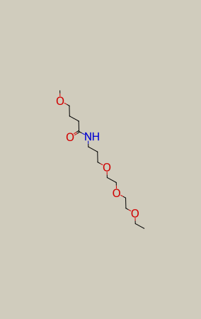 CCOCCOCCOCCCNC(=O)CCCOC